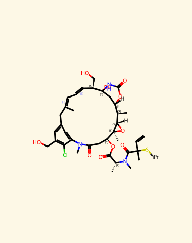 C=CC(C)(SC(C)C)C(=O)N(C)[C@H](C)C(=O)O[C@H]1CC(=O)N(C)c2cc(cc(CO)c2Cl)C/C(C)=C/C=C/[C@@H](CO)[C@@]2(O)C[C@H](OC(=O)N2)[C@@H](C)[C@@H]2O[C@@]12C